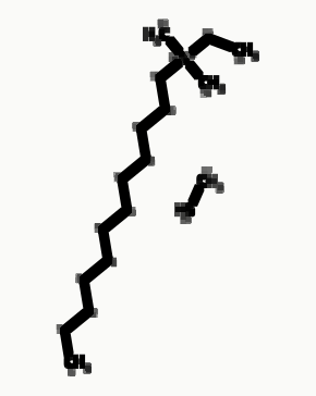 CCCCCCCCCCCC[N+](C)(C)CC.CS